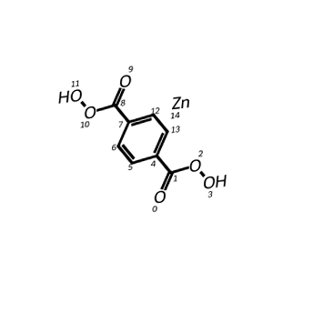 O=C(OO)c1ccc(C(=O)OO)cc1.[Zn]